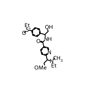 CCN(C)C(COC)c1ccc(C(=O)NC(CO)c2ccc([S+]([O-])CC)cc2)cn1